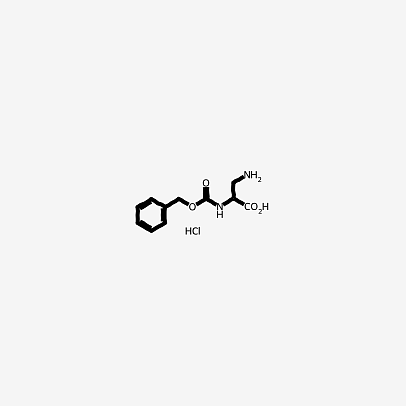 Cl.NCC(NC(=O)OCc1ccccc1)C(=O)O